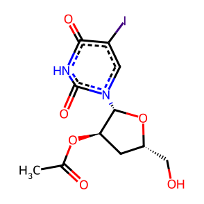 CC(=O)O[C@@H]1C[C@@H](CO)O[C@H]1n1cc(I)c(=O)[nH]c1=O